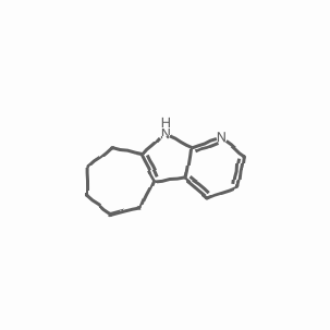 c1cnc2[nH]c3c(c2c1)CCCCC3